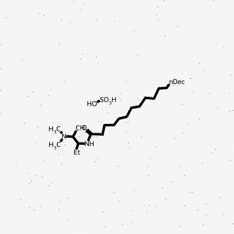 CCCCCCCCCCCCCCCCCCCCCC(=O)NC(CC)C(C)N(C)C.O=S(=O)(O)O